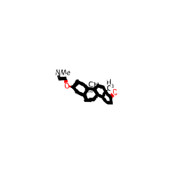 CNCCO[C@H]1CC[C@@]2(C)C(CCC3C2CC[C@]2(C)C(=O)CCC32)C1